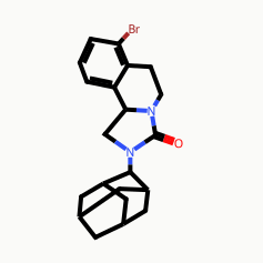 O=C1N2CCc3c(Br)cccc3C2CN1C1C2CC3CC(C2)CC1C3